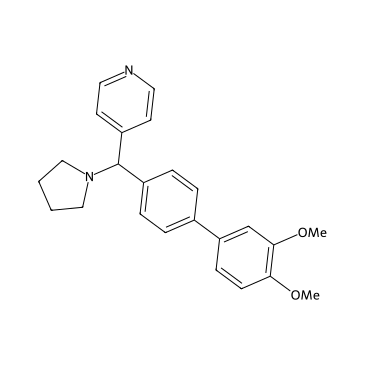 COc1ccc(-c2ccc(C(c3ccncc3)N3CCCC3)cc2)cc1OC